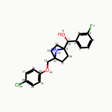 O[C@@H](c1cccc(F)c1)C12CCC(COc3ccc(Cl)cc3)(CC1)N2